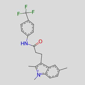 Cc1ccc2c(c1)c(CCC(=O)Nc1ccc(C(F)(F)F)cc1)c(C)n2C